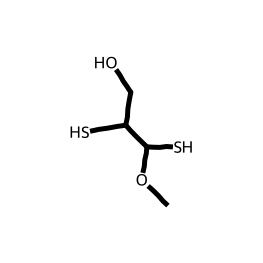 COC(S)C(S)CO